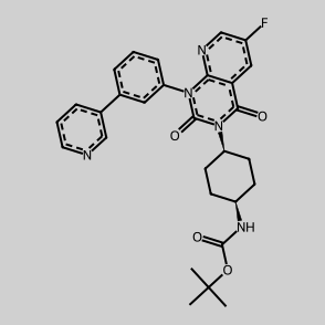 CC(C)(C)OC(=O)N[C@H]1CC[C@@H](n2c(=O)c3cc(F)cnc3n(-c3cccc(-c4cccnc4)c3)c2=O)CC1